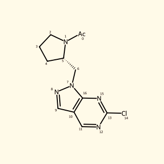 CC(=O)N1CCC[C@H]1Cn1ncc2cnc(Cl)nc21